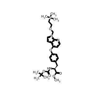 COC(=O)[C@H](Cc1ccc(Oc2ccnc3c2ccn3COCCS(C)(C)C)cc1)NC(=O)OC(C)(C)C